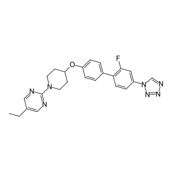 CCc1cnc(N2CCC(Oc3ccc(-c4ccc(-n5cnnn5)cc4F)cc3)CC2)nc1